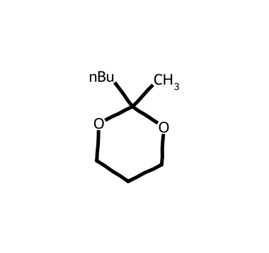 CCCCC1(C)OCCCO1